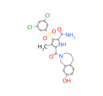 Cc1c(C(=O)N2CCCc3ccc(O)cc3C2)[nH]c(C(N)=O)c1S(=O)(=O)c1cc(Cl)cc(Cl)c1